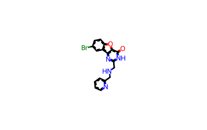 O=c1[nH]c(CNCc2ccccn2)nc2c1oc1ccc(Br)cc12